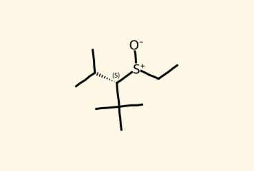 CC[S+]([O-])[C@@H](C(C)C)C(C)(C)C